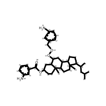 CC(C)CC(C)C1CCC2C3CC(OOCc4cccc(N)c4)C4CC(OC(=O)c5cccc(N)c5)CCC4(C)C3CCC12C